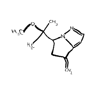 C=C1CC(C(C)(C)OC)n2nccc21